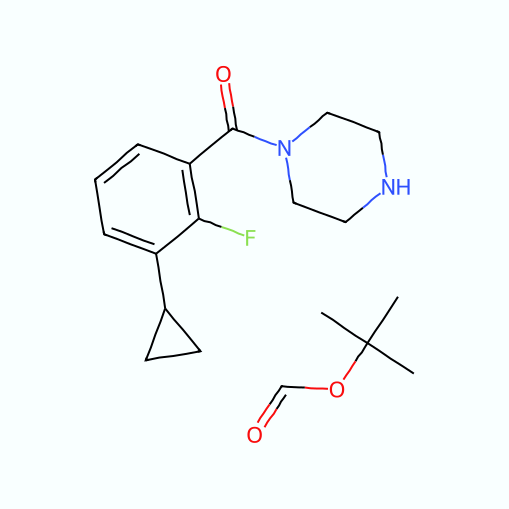 CC(C)(C)OC=O.O=C(c1cccc(C2CC2)c1F)N1CCNCC1